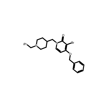 C[C](C)CN1CCC(Cn2ccc(OCc3ccccc3)c(Br)c2=O)CC1